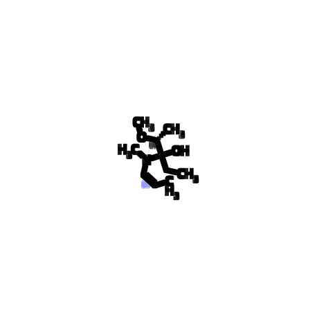 C/C=C\N(C)C(O)(CC)[C@@H](C)OC